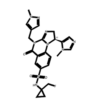 Cn1cc(CN2C(=O)c3cc(S(=O)(=O)NC4(CF)CC4)ccc3N3C2=NC[C@H]3c2cncn2C)cn1